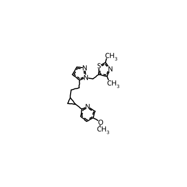 COc1ccc(C2CC2CCc2ccnn2Cc2sc(C)nc2C)nc1